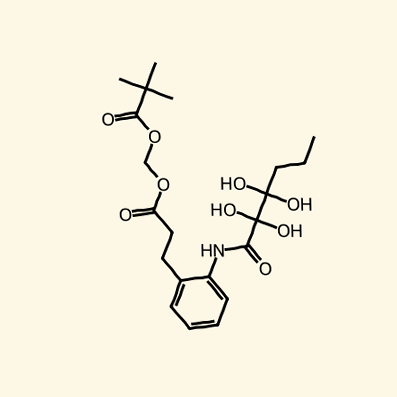 CCCC(O)(O)C(O)(O)C(=O)Nc1ccccc1CCC(=O)OCOC(=O)C(C)(C)C